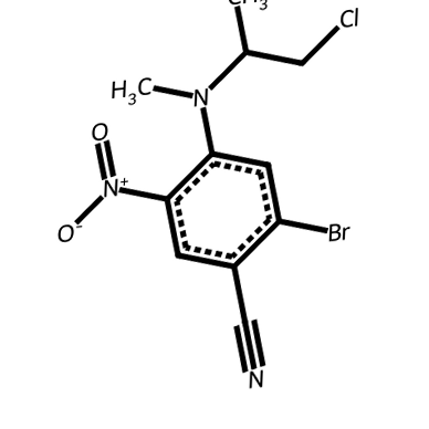 CC(CCl)N(C)c1cc(Br)c(C#N)cc1[N+](=O)[O-]